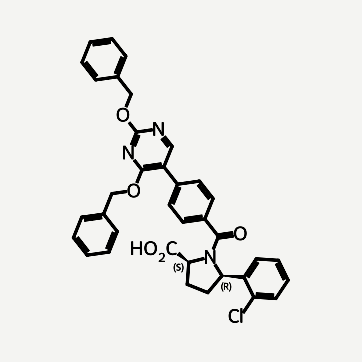 O=C(O)[C@@H]1CC[C@H](c2ccccc2Cl)N1C(=O)c1ccc(-c2cnc(OCc3ccccc3)nc2OCc2ccccc2)cc1